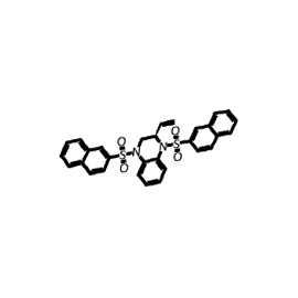 C=C[C@@H]1CN(S(=O)(=O)c2ccc3ccccc3c2)c2ccccc2N1S(=O)(=O)c1ccc2ccccc2c1